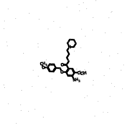 COc1ccc(COc2cc(N)c(Cl)cc2C(=O)CCCCN2CCCCC2)cc1.Cl